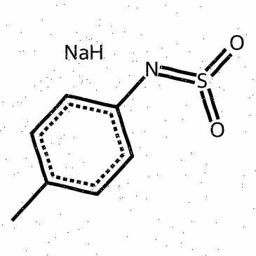 Cc1ccc(N=S(=O)=O)cc1.[NaH]